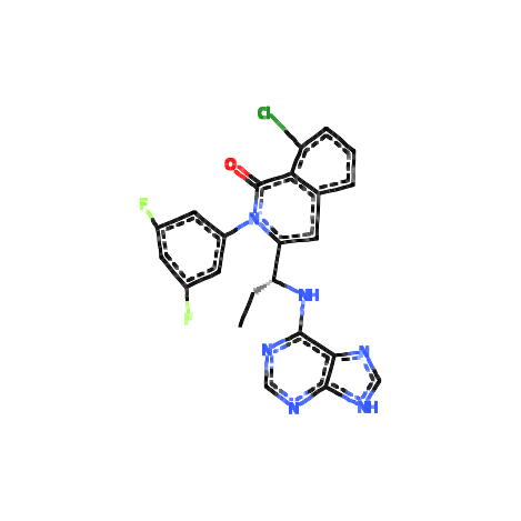 CC[C@@H](Nc1ncnc2[nH]cnc12)c1cc2cccc(Cl)c2c(=O)n1-c1cc(F)cc(F)c1